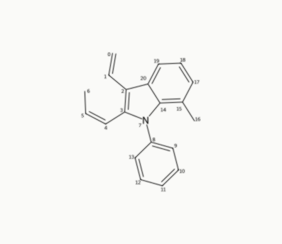 C=Cc1c(/C=C\C)n(-c2ccccc2)c2c(C)cccc12